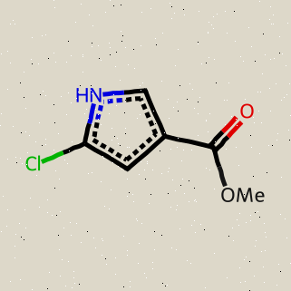 COC(=O)c1c[nH]c(Cl)c1